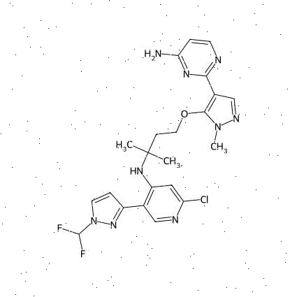 Cn1ncc(-c2nccc(N)n2)c1OCCC(C)(C)Nc1cc(Cl)ncc1-c1ccn(C(F)F)n1